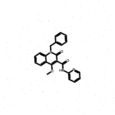 COc1c(C(=O)Nc2ccccn2)c(=O)n(Cc2ccccc2)c2ccccc12